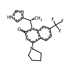 C[C@H](c1c[nH]cn1)n1c(=O)nc(N2CCCC2)c2ccc(C(F)(F)F)cc21